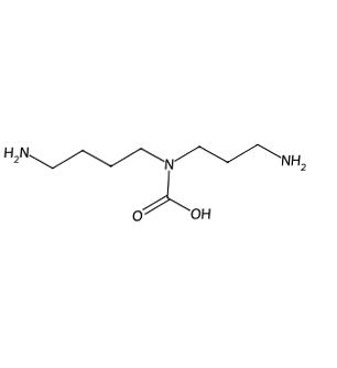 NCCCCN(CCCN)C(=O)O